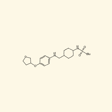 CC(C)(C)S(=O)(=O)NC1CCC(CNc2ccc(OC3CCOC3)cc2)CC1